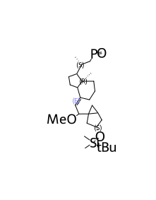 COC(/C=C1\CCC[C@@]2(C)C1CCC2[C@H](C)CP=O)C12CC1C[C@H](O[Si](C)(C)C(C)(C)C)C2